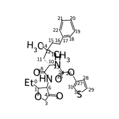 CCC1OCC(=O)C1NC(=O)[C@H](CC(C)(C)CCc1ccccc1)NC(=O)Oc1ccsc1